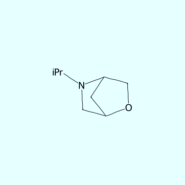 CC(C)N1CC2CC1CO2